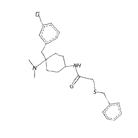 CN(C)C1(Cc2cccc(Cl)c2)CCC(NC(=O)CSCc2ccccc2)CC1